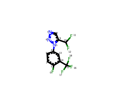 Fc1ccc(-n2nn[c]c2C(F)F)cc1C(F)(F)F